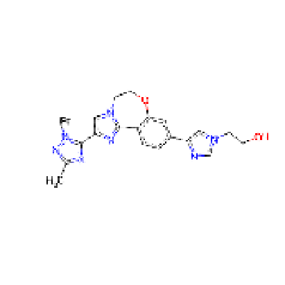 Cc1nc(-c2cn3c(n2)-c2ccc(-c4cn(CCO)cn4)cc2OCC3)n(C(C)C)n1